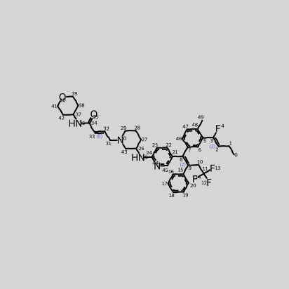 CC/C=C(\F)c1cc(/C(=C(\CC(F)(F)F)c2ccccc2)c2ccc(NC3CCCN(C/C=C/C(=O)NC4CCOCC4)C3)nc2)ccc1C